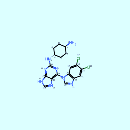 N[C@H]1CC[C@H](Nc2nc(-n3cnc4cc(Cl)c(Cl)cc43)c3nc[nH]c3n2)CC1